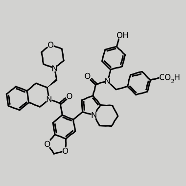 O=C(O)c1ccc(CN(C(=O)c2cc(-c3cc4c(cc3C(=O)N3Cc5ccccc5C[C@H]3CN3CCOCC3)OCO4)n3c2CCCC3)c2ccc(O)cc2)cc1